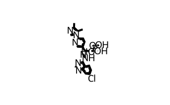 C/C(=N\Nc1ncnc2cc(Cl)ccc12)c1ccc(-n2cnc(C)c2C)nc1.O=P(O)(O)O